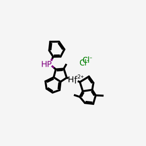 CC1=C(Pc2ccccc2)c2ccccc2[CH]1[Hf+2][CH]1C=Cc2c(C)ccc(C)c21.[Cl-].[Cl-]